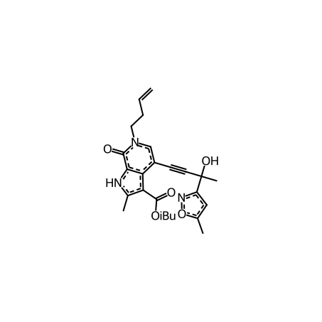 C=CCCn1cc(C#CC(C)(O)c2cc(C)on2)c2c(C(=O)OCC(C)C)c(C)[nH]c2c1=O